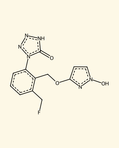 O=c1[nH]nnn1-c1cccc(CF)c1COc1ccn(O)n1